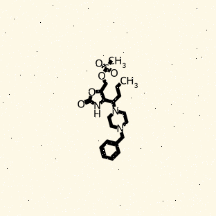 CCCC(C1NC(=O)OC1COS(C)(=O)=O)N1CCN(Cc2ccccc2)CC1